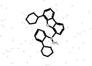 CN(c1ccccc1C1CCCCC1)c1cccc2c1oc1c(C3CCCCC3)cccc12